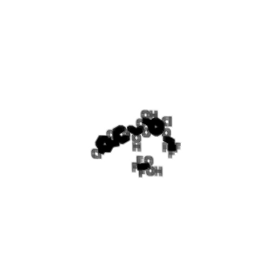 O=C(O)C(F)(F)F.O=C(O)c1cc(Cl)c(OCCC(F)(F)F)cc1OC[C@@H](O)CN1CCC2(CC1)Cc1cc(Cl)ccc1O2